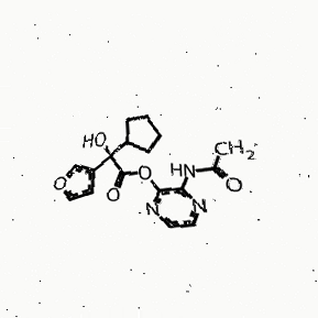 [CH2]C(=O)Nc1nccnc1OC(=O)[C@](O)(c1ccoc1)C1CCCC1